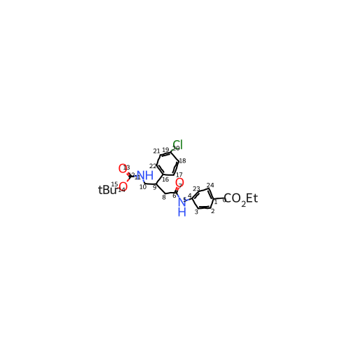 CCOC(=O)c1ccc(NC(=O)CC(CNC(=O)OC(C)(C)C)c2ccc(Cl)cc2)cc1